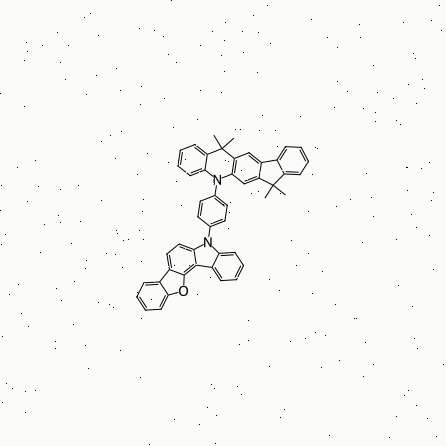 CC1(C)c2ccccc2-c2cc3c(cc21)N(c1ccc(-n2c4ccccc4c4c5oc6ccccc6c5ccc42)cc1)c1ccccc1C3(C)C